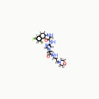 C[C@H](NC1CCc2cc(F)cc(F)c2C1)C(=O)Nc1cn(C(C)(C)C(=O)NCCCN2CCOCC2)cn1